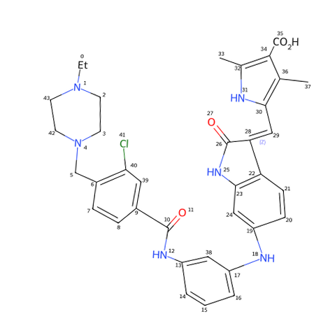 CCN1CCN(Cc2ccc(C(=O)Nc3cccc(Nc4ccc5c(c4)NC(=O)/C5=C\c4[nH]c(C)c(C(=O)O)c4C)c3)cc2Cl)CC1